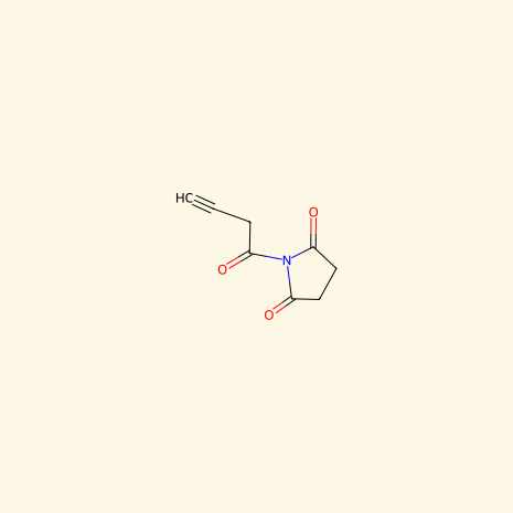 C#CCC(=O)N1C(=O)CCC1=O